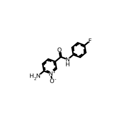 Nc1ccc(C(=O)Nc2ccc(F)cc2)c[n+]1[O-]